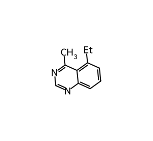 CCc1cccc2ncnc(C)c12